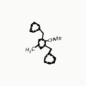 COc1c(Cc2ccccc2)cc(C)cc1Cc1ccccc1